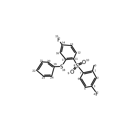 Cc1cc(F)ccc1S(=O)(=O)c1ccc(F)cc1Sc1ccccc1